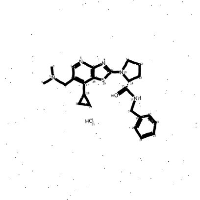 CN(C)Cc1cnc2nc(N3CCC[C@@H]3C(=O)NCc3ccccc3)sc2c1C1CC1.Cl